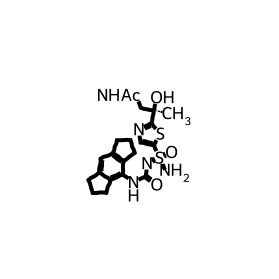 CC(=O)NC[C@@](C)(O)c1ncc(S(N)(=O)=NC(=O)Nc2c3c(cc4c2CCC4)CCC3)s1